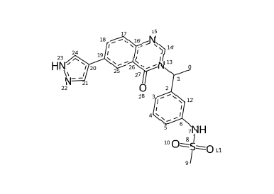 CC(c1cccc(NS(C)(=O)=O)c1)n1cnc2ccc(-c3cn[nH]c3)cc2c1=O